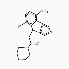 Cc1ccc(F)c2c1-c1cncn1C2CC(=O)C1CCCCC1